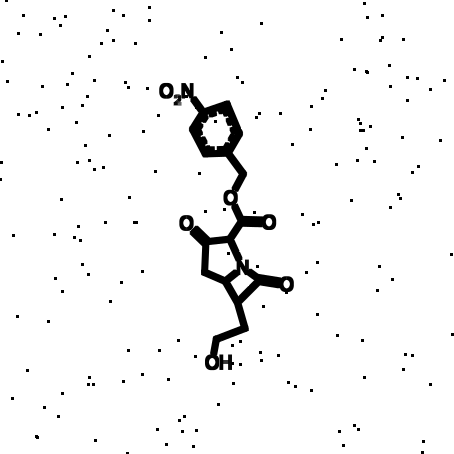 O=C1CC2C(CCO)C(=O)N2C1C(=O)OCc1ccc([N+](=O)[O-])cc1